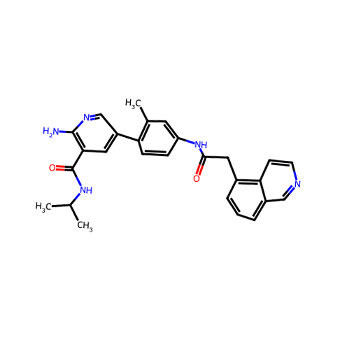 Cc1cc(NC(=O)Cc2cccc3cnccc23)ccc1-c1cnc(N)c(C(=O)NC(C)C)c1